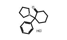 Cl.O=C1CCCCC1(c1ccccc1)N1CCCC1